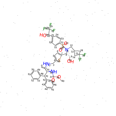 C=C(NCc1ccc([C@@H](CO)N(CC2CC(F)(F)C2)S(=O)(=O)c2ccc(C(O)C(F)(F)F)cc2)s1)[C@@H](NC(=O)OC)C(c1ccccc1)c1ccccc1